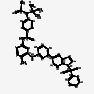 Cc1ccc(NC(=O)c2ccc(N(C(=O)O)C(C)(C)C)cc2)cc1Nc1cc(-c2cnc3c(ccn3S(=O)(=O)c3ccccc3)c2)ncn1